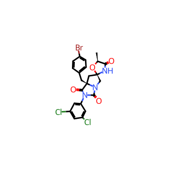 C[C@@H]1O[C@]2(CN3C(=O)N(c4cc(Cl)cc(Cl)c4)C(=O)[C@]3(Cc3ccc(Br)cc3)C2)NC1=O